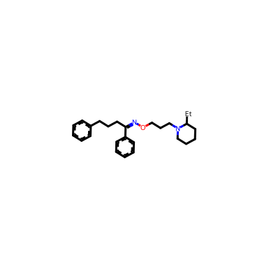 CCC1CCCCN1CCCON=C(CCCc1ccccc1)c1ccccc1